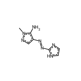 Cn1ncc(N=Nc2ncc[nH]2)c1N